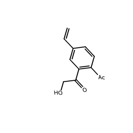 C=Cc1ccc(C(C)=O)c(C(=O)CO)c1